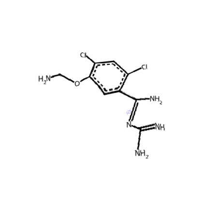 N=C(N)/N=C(\N)c1cc(OCN)c(Cl)cc1Cl